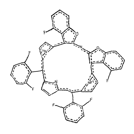 Fc1cccc(F)c1-c1c2nc(c(-c3c(F)cccc3F)c3ccc([nH]3)c3c(nc4oc5cccc(F)c5c4c4ccc1[nH]4)oc1cccc(F)c13)C=C2